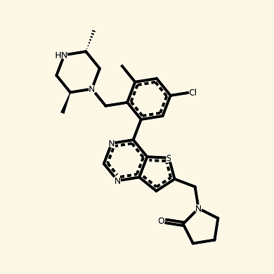 Cc1cc(Cl)cc(-c2ncnc3cc(CN4CCCC4=O)sc23)c1CN1C[C@@H](C)NC[C@@H]1C